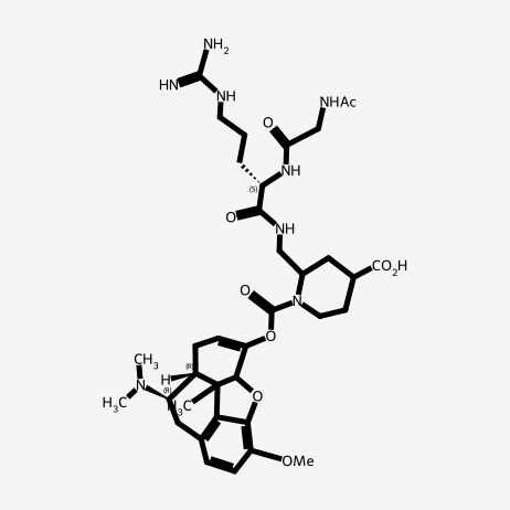 COc1ccc2c3c1OC1C(OC(=O)N4CCC(C(=O)O)CC4CNC(=O)[C@H](CCCNC(=N)N)NC(=O)CNC(C)=O)=CC[C@@H]([C@H](N(C)C)C2)C31C